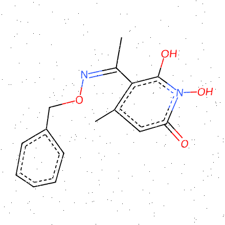 CC(=NOCc1ccccc1)c1c(C)cc(=O)n(O)c1O